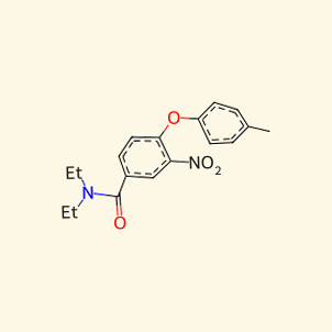 CCN(CC)C(=O)c1ccc(Oc2ccc(C)cc2)c([N+](=O)[O-])c1